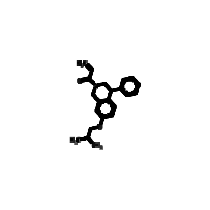 C=CC(=O)N1Cc2cc(OCC(C)C)ccc2C(c2ccccc2)C1